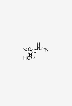 CC(C)(C)C1CN(C(=O)O)c2ccc(NCCC#N)cc2O1